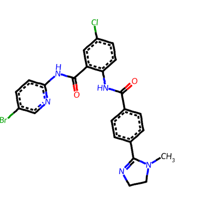 CN1CCN=C1c1ccc(C(=O)Nc2ccc(Cl)cc2C(=O)Nc2ccc(Br)cn2)cc1